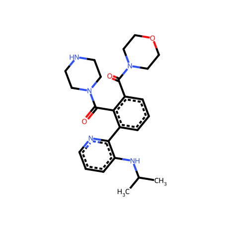 CC(C)Nc1cccnc1-c1cccc(C(=O)N2CCOCC2)c1C(=O)N1CCNCC1